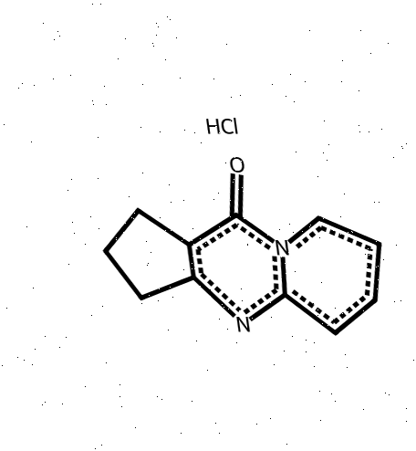 Cl.O=c1c2c(nc3ccccn13)CCC2